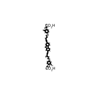 C/C(C#Cc1ccc2c(c1)Cc1cc(C#C/C=C/CSc3ccc(OCC(=O)O)c(C)c3)ccc1-2)=C\CSc1ccc(OCC(=O)O)c(C)c1